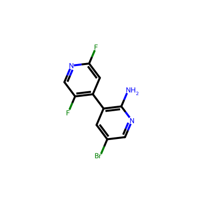 Nc1ncc(Br)cc1-c1cc(F)ncc1F